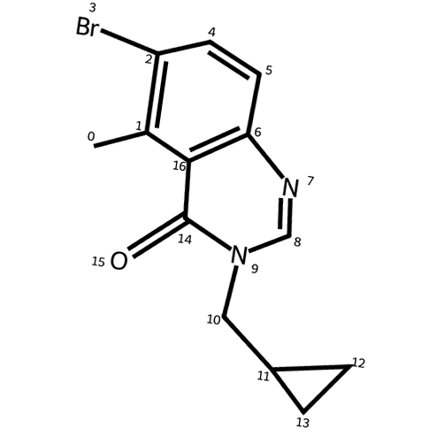 Cc1c(Br)ccc2ncn(CC3CC3)c(=O)c12